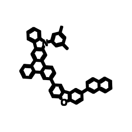 Cc1cc(C)cc(-n2c3ccccc3c3cc4c5ccccc5c5cc(-c6ccc7oc8ccc(-c9ccc%10ccccc%10c9)cc8c7c6)ccc5c4cc32)c1